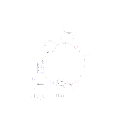 Cc1ccc2c(c1)-c1cccc(c1)-c1cc3nc(C)c([C@H](OC(C)(C)C)C(=O)O)c(n3n1)N1CCC(C)(CC1)OCCCC(C)CO2